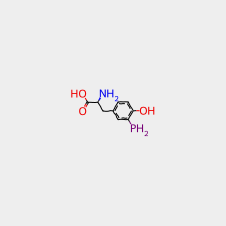 N[C@@H](Cc1ccc(O)c(P)c1)C(=O)O